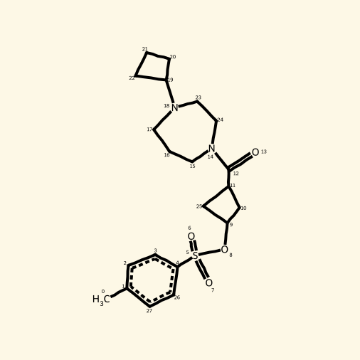 Cc1ccc(S(=O)(=O)OC2CC(C(=O)N3CCCN(C4CCC4)CC3)C2)cc1